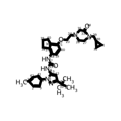 Cc1ccc(-n2nc(C(C)(C)C)cc2NC(=O)Nc2ccc(OCCN3CCN(CC4CC4)C(=O)C3)c3c2CCC3)cc1